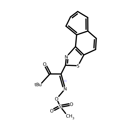 CC(C)(C)C(=O)/C(=N\OS(C)(=O)=O)c1nc2c(ccc3ccccc32)s1